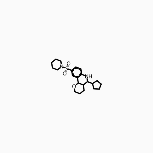 O=S(=O)(c1ccc2c(c1)C1OCCCC1C(C1CCCC1)N2)N1CCCCC1